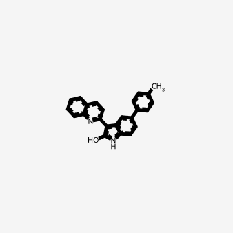 Cc1ccc(-c2ccc3[nH]c(O)c(-c4ccc5ccccc5n4)c3c2)cc1